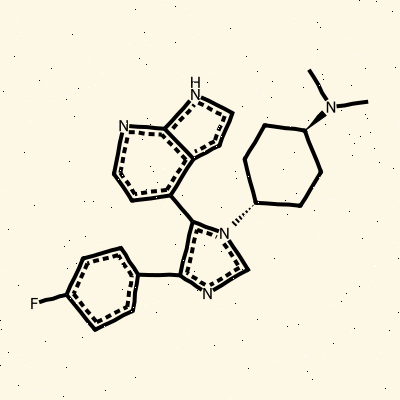 CN(C)[C@H]1CC[C@H](n2cnc(-c3ccc(F)cc3)c2-c2ccnc3[nH]ccc23)CC1